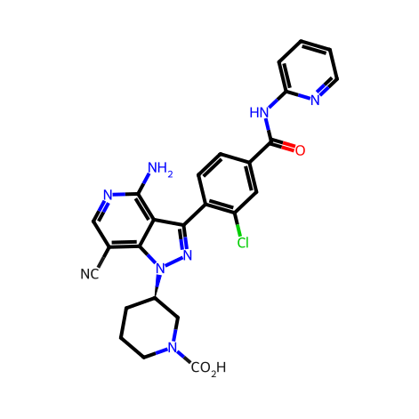 N#Cc1cnc(N)c2c(-c3ccc(C(=O)Nc4ccccn4)cc3Cl)nn([C@@H]3CCCN(C(=O)O)C3)c12